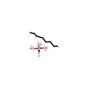 CCCCCCCC.OP(O)(O)=S